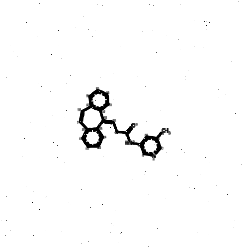 Cc1cncc(NC(=O)CC=C2c3ccccc3C=Cc3ccccc32)c1